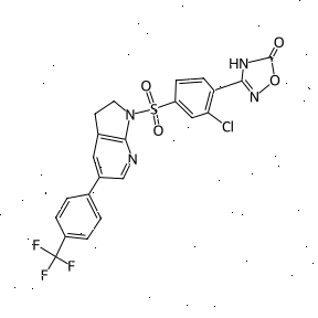 O=c1[nH]c(-c2ccc(S(=O)(=O)N3CCc4cc(-c5ccc(C(F)(F)F)cc5)cnc43)cc2Cl)no1